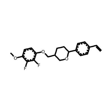 C=Cc1ccc(C2CCC(COc3ccc(OC)c(F)c3F)CO2)cc1